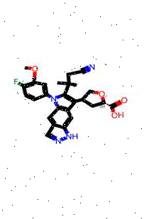 COc1cc(-n2c(C(C)(C)CC#N)c(C3CO[C@H](C(=O)O)C3)c3cc4[nH]ncc4cc32)ccc1F